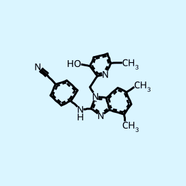 Cc1cc(C)c2nc(Nc3ccc(C#N)cc3)n(Cc3nc(C)ccc3O)c2c1